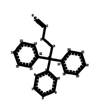 S=CCCC(c1ccccc1)(c1ccccc1)c1ccccc1